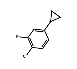 Fc1cc([C]2CC2)ccc1Cl